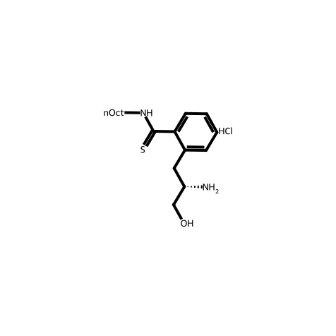 CCCCCCCCNC(=S)c1ccccc1C[C@H](N)CO.Cl